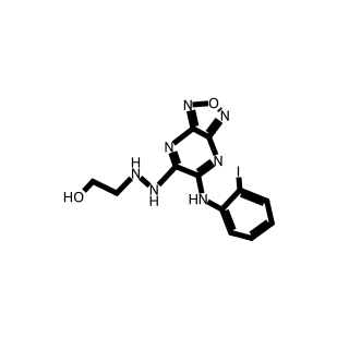 OCCNNc1nc2nonc2nc1Nc1ccccc1I